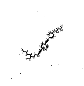 CCCCCC(CC)CCCC#Cc1ccc(C#C[C@H]2CC[C@H](CCCCC)CC2)nn1